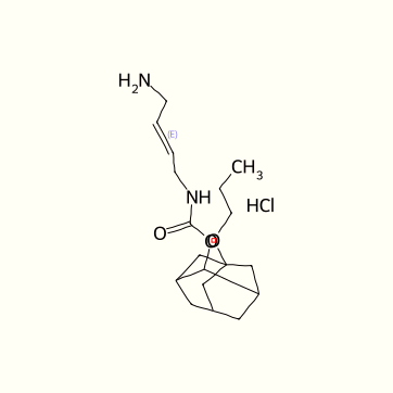 CCCOC12CC3CC(C1)C(OC(=O)NC/C=C/CN)C(C3)C2.Cl